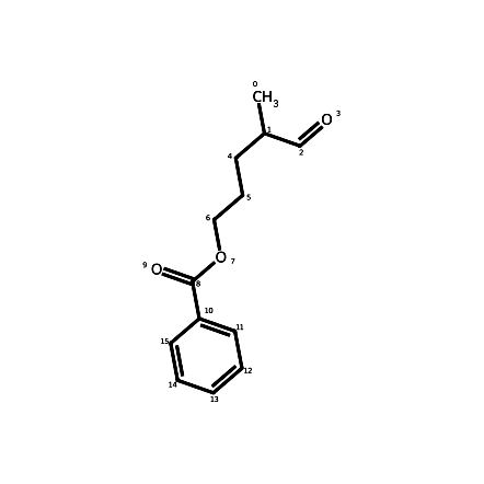 CC(C=O)CCCOC(=O)c1ccccc1